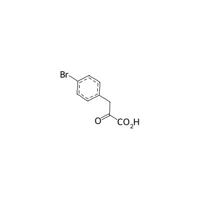 O=C(O)C(=O)Cc1ccc(Br)cc1